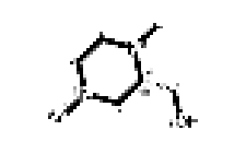 CC(=O)N1CCN(C)[C@H](CO)C1